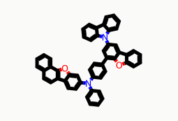 c1ccc(N(c2ccc(-c3cc(-n4c5ccccc5c5ccccc54)cc4c3oc3ccccc34)cc2)c2ccc3c(c2)oc2c4ccccc4ccc32)cc1